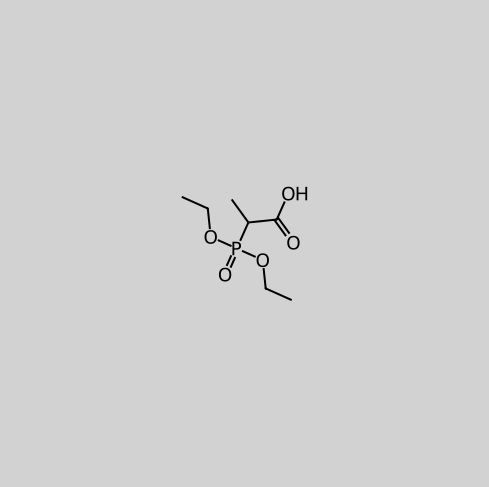 CCOP(=O)(OCC)C(C)C(=O)O